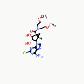 COCCN(CCOC)C(=O)[C@@]12C[C@@H]1[C@@H](n1cnc3c(N)nc(Cl)nc31)[C@H](O)[C@@H]2O